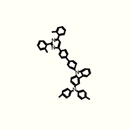 Cc1ccc(N(c2ccc(C)cc2)c2ccc3c(c2)c2ccccc2n3-c2ccc(-c3ccc(-c4cc(-c5ccccc5C)nc(-c5ccccc5C)n4)cc3)cc2)cc1